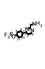 NCc1nccc(-c2ccc(OC(F)(F)F)cc2)n1